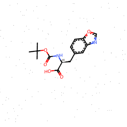 CC(C)(C)OC(=O)N[C@@H](Cc1ccc2ocnc2c1)C(=O)O